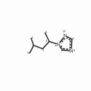 CC(C)CC(C)n1cncn1